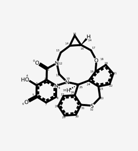 O=C1c2c(O)c(=O)ccn2N2CN1CC1C[C@@H]1COc1cccc3c1[C@H]2c1ccccc1SC3